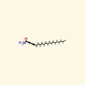 CCCCCCCCCCCCCCCCC#CC#CC(N)=O